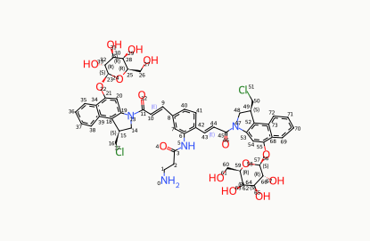 NCCC(=O)Nc1cc(/C=C/C(=O)N2C[C@@H](CCl)c3c2cc(O[C@@H]2O[C@H](CO)[C@H](O)[C@H](O)[C@H]2O)c2ccccc32)ccc1/C=C/C(=O)N1C[C@@H](CCl)c2c1cc(O[C@@H]1O[C@H](CO)[C@H](O)[C@H](O)[C@H]1O)c1ccccc21